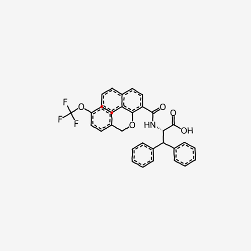 O=C(N[C@H](C(=O)O)C(c1ccccc1)c1ccccc1)c1ccc2ccccc2c1OCc1ccc(OC(F)(F)F)cc1